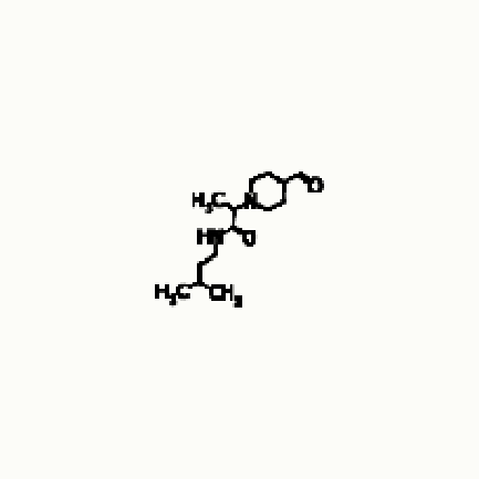 CC(C)CCNC(=O)C(C)N1CCC(C=O)CC1